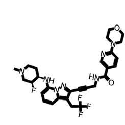 CN1CC[C@@H](Nc2cccc3c(CC(F)(F)F)c(C#CCNC(=O)c4ccc(N5CCOCC5)nc4)nn23)[C@@H](F)C1